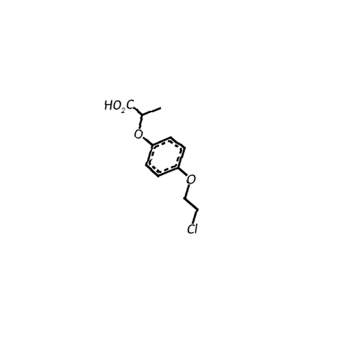 CC(Oc1ccc(OCCCl)cc1)C(=O)O